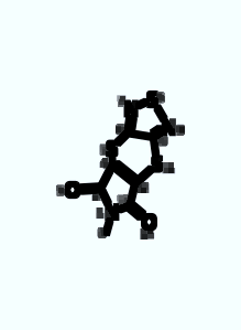 Cn1c(=O)c2sc3nsnc3sc=2c1=O